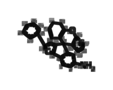 Nc1ccc2c(c1)C1(C3=C(CCC=C3)Oc3ccccc31)c1cc(-c3ccccc3)ccc1-2